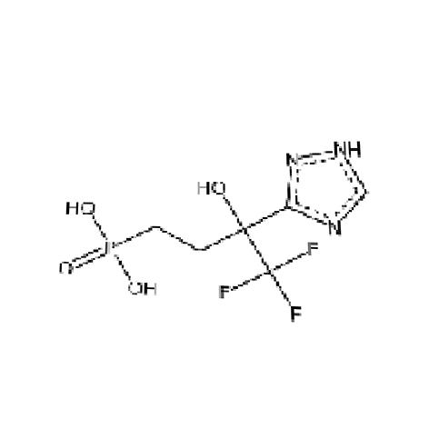 O=P(O)(O)CCC(O)(c1nc[nH]n1)C(F)(F)F